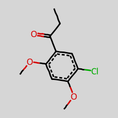 CCC(=O)c1cc(Cl)c(OC)cc1OC